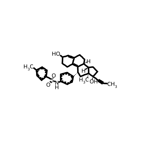 CC#C[C@]1(O)CC[C@H]2[C@@H]3CCC4=CC(O)CCC4=C3[C@@H](c3ccc(NS(=O)(=O)c4ccc(C)cc4)cc3)C[C@@]21C